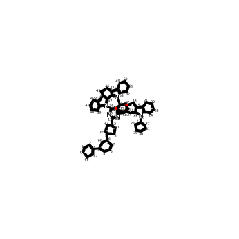 c1ccc(-c2cccc(-c3ccc(-c4nc(-c5ccc6c7ccccc7n(-c7ccccc7)c6c5)nc(-n5c6ccccc6c6ccc7c8ccccc8n(-c8ccccc8)c7c65)n4)cc3)c2)cc1